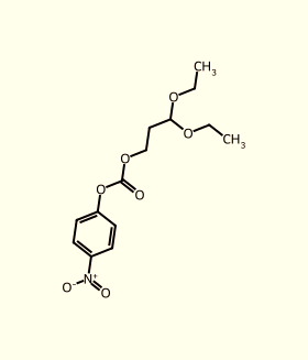 CCOC(CCOC(=O)Oc1ccc([N+](=O)[O-])cc1)OCC